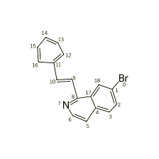 Brc1ccc2ccnc(C=Cc3ccccc3)c2c1